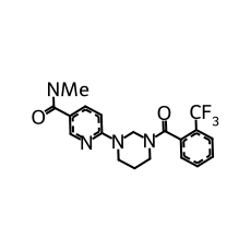 CNC(=O)c1ccc(N2CCCN(C(=O)c3ccccc3C(F)(F)F)C2)nc1